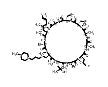 C/C=C/C[C@@H](C)[C@@H](O)[C@H]1C(=O)N[C@H](CC)C(=O)N(C)[C@H](CSCCCN2CCN(C)CC2)C(=O)N(C)[C@@H](CC(C)(C)O)C(=O)N[C@H](C(C)C)C(=O)N(C)[C@H](CCC(C)C)C(=O)N[C@H](C)C(=O)N[C@H](C)C(=O)N(C)[C@@H](CC(C)C)C(=O)N(C)[C@@H](CC(C)C)C(=O)N(C)[C@H](C(C)C)C(=O)N1C